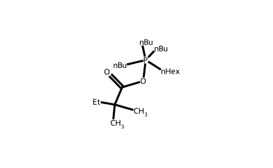 CCCCCCP(CCCC)(CCCC)(CCCC)OC(=O)C(C)(C)CC